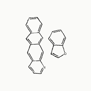 c1ccc2cc3cc4ncccc4cc3cc2c1.c1ccc2occc2c1